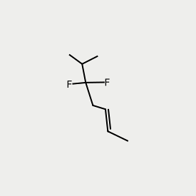 CC=CCC(F)(F)C(C)C